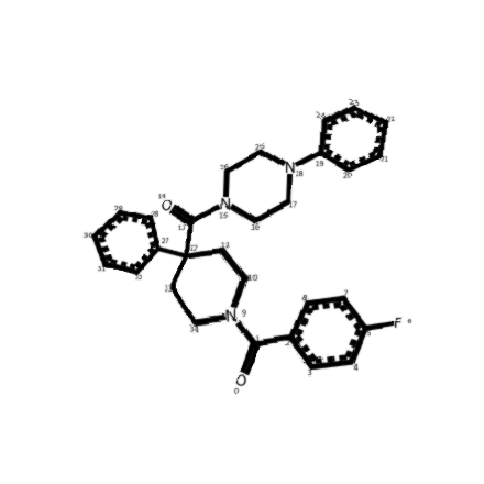 O=C(c1ccc(F)cc1)N1CCC(C(=O)N2CCN(c3ccccc3)CC2)(c2ccccc2)CC1